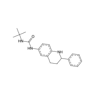 CC(C)(C)NC(=O)Nc1ccc2c(c1)CCC(c1ccccc1)N2